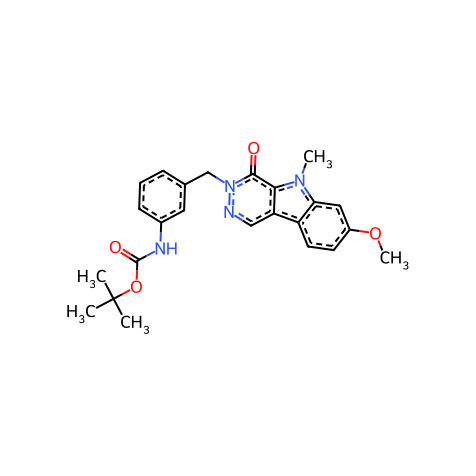 COc1ccc2c3cnn(Cc4cccc(NC(=O)OC(C)(C)C)c4)c(=O)c3n(C)c2c1